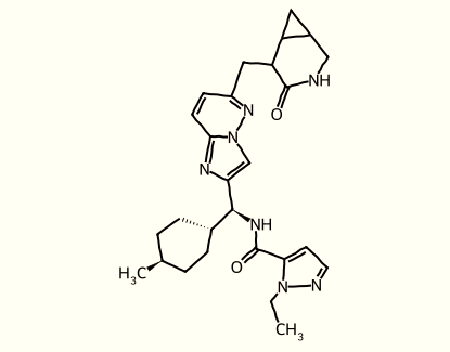 CCn1nccc1C(=O)N[C@H](c1cn2nc(CC3C(=O)NCC4CC43)ccc2n1)[C@H]1CC[C@H](C)CC1